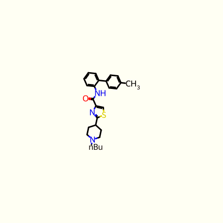 CCCCN1CCC(c2nc(C(=O)Nc3ccccc3-c3ccc(C)cc3)cs2)CC1